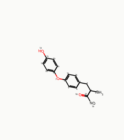 BC(Cc1ccc(Oc2ccc(O)cc2)cc1)C(=O)N=O